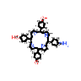 Nc1ccc(C2=C3C=CC(=N3)C(c3ccc(O)cc3)=C3C=CC(=N3)C(c3ccc(O)cc3)=C3C=CC(=N3)C(c3ccc(O)cc3)=C3C=CC2=N3)cc1